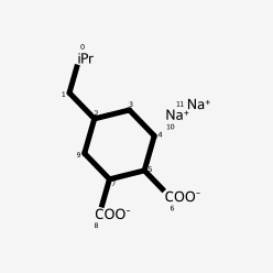 CC(C)CC1CCC(C(=O)[O-])C(C(=O)[O-])C1.[Na+].[Na+]